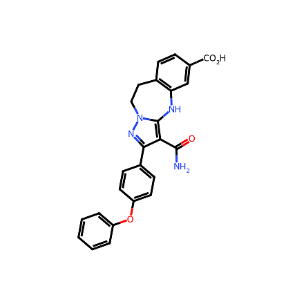 NC(=O)c1c(-c2ccc(Oc3ccccc3)cc2)nn2c1Nc1cc(C(=O)O)ccc1CC2